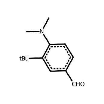 CN(C)c1ccc(C=O)cc1C(C)(C)C